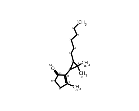 CCCCCCC1C(C2=C(C)CCC2=O)C1(C)C